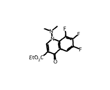 CCOC(=O)c1cn(N(C)C)c2c(F)c(F)c(F)cc2c1=O